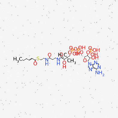 CCC/C=C/C(=O)SCCNC(=O)CCNC(=O)C(O)C(C)(C)COP(=O)(O)OP(=O)(O)OC[C@H]1O[C@@H](n2cnc3c(N)ncnc32)[C@H](O)[C@@H]1OP(=O)(O)O